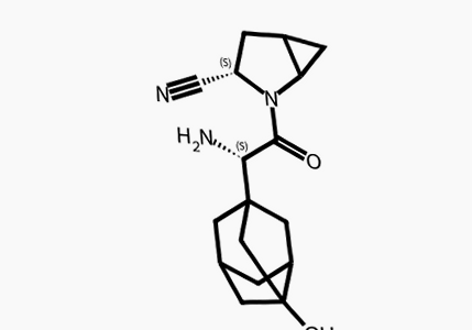 N#C[C@@H]1CC2CC2N1C(=O)[C@@H](N)C12CC3CC(C1)C(O)(C3)C2